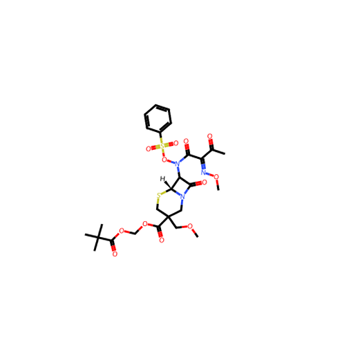 COCC1(C(=O)OCOC(=O)C(C)(C)C)CS[C@@H]2C(N(OS(=O)(=O)c3ccccc3)C(=O)C(=NOC)C(C)=O)C(=O)N2C1